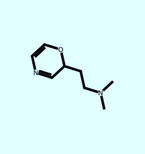 CN(C)CCC1C=NC=CO1